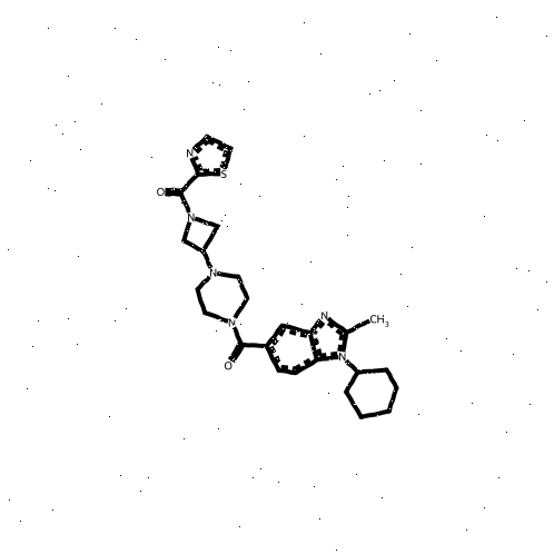 Cc1nc2cc(C(=O)N3CCN(C4CN(C(=O)c5nccs5)C4)CC3)ccc2n1C1CCCCC1